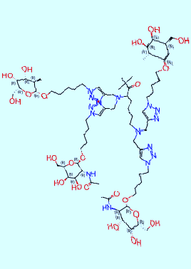 CC(=O)N[C@H]1[C@H](OCCCCCn2cc(CN(CCCCC(C(=O)C(C)(C)C)N(Cc3cn(CCCCCO[C@@H]4O[C@H](CO)[C@H](O)[C@H](O)[C@H]4C)nn3)Cc3cn(CCCCCO[C@@H]4O[C@H](CO)[C@H](O)[C@H](O)[C@H]4NC(C)=O)nn3)Cc3cn(CCCCCO[C@@H]4C[C@H](CO)[C@H](O)[C@H](O)[C@H]4C)nn3)nn2)O[C@H](CO)[C@H](O)[C@@H]1O